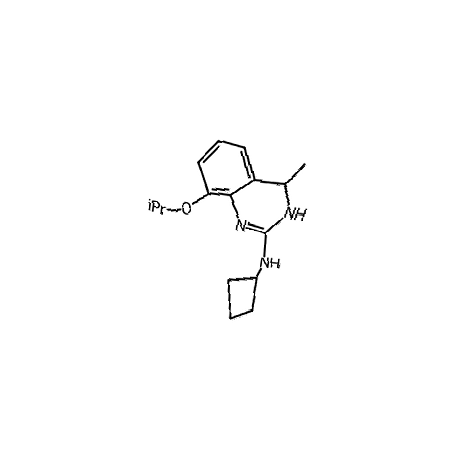 CC(C)Oc1cccc2c1N=C(NC1CCC1)NC2C